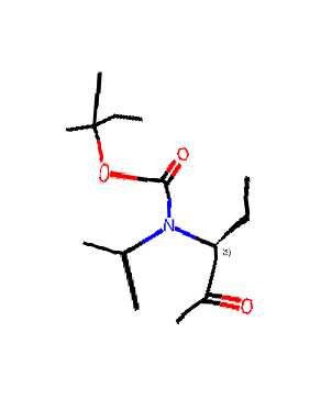 CC[C@@H](C(C)=O)N(C(=O)OC(C)(C)C)C(C)C